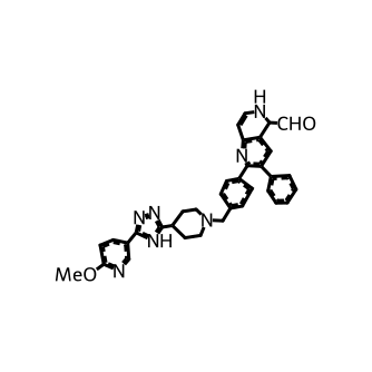 COc1ccc(-c2nnc(C3CCN(Cc4ccc(-c5nc6c(cc5-c5ccccc5)C(C=O)NC=C6)cc4)CC3)[nH]2)cn1